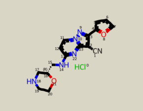 Cl.N#Cc1c(-c2ccco2)nn2ccc(NC[C@H]3CNCCO3)nc12